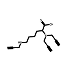 C#CCNCCCCC(C(=O)O)N(CC#C)CC#C